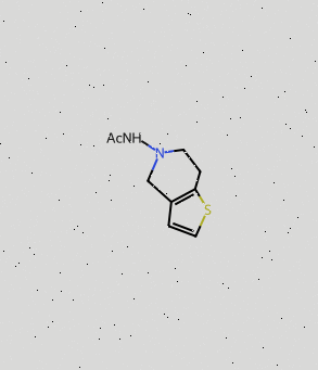 CC(=O)NN1CCc2sccc2C1